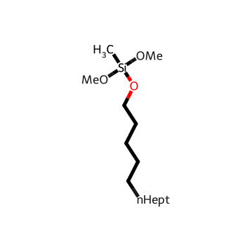 CCCCCCCCCCCCO[Si](C)(OC)OC